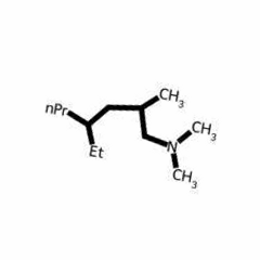 CCCC(CC)CC(C)CN(C)C